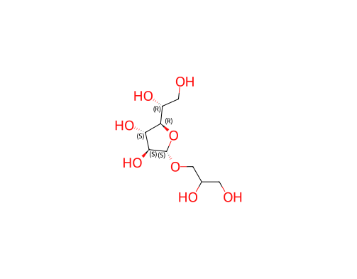 OCC(O)CO[C@H]1O[C@H]([C@H](O)CO)[C@@H](O)[C@@H]1O